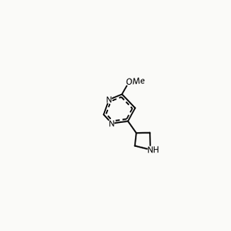 COc1cc(C2CNC2)ncn1